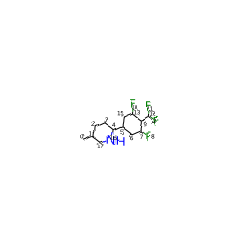 CC1CCC(C2CC(F)C(C(F)F)C(F)C2)NC1